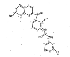 N#Cc1cnc2ccc(C(=O)c3cccc(NC(=O)Nc4cccc(Cl)c4)c3F)cc2n1